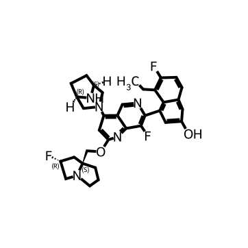 CCc1c(F)ccc2cc(O)cc(-c3ncc4c(N5C[C@H]6CC[C@@H](C5)N6)cc(OC[C@@]56CCCN5C[C@H](F)C6)nc4c3F)c12